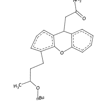 CCCCOC(C)CCc1cccc2c1Oc1ccccc1C2CC(N)=O